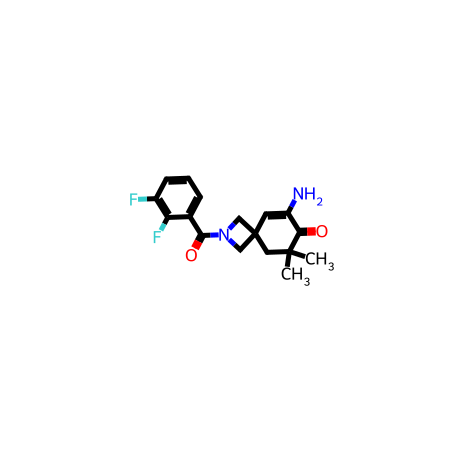 CC1(C)CC2(C=C(N)C1=O)CN(C(=O)c1cccc(F)c1F)C2